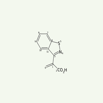 C=C(C(=O)O)c1nsc2ccccc12